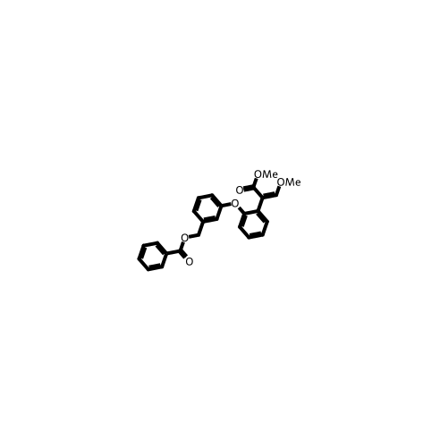 COC=C(C(=O)OC)c1ccccc1Oc1cccc(COC(=O)c2ccccc2)c1